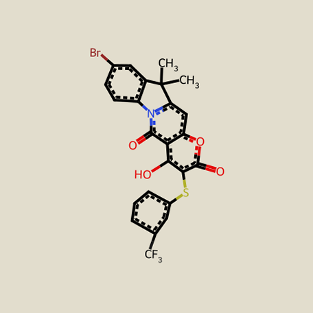 CC1(C)c2cc(Br)ccc2-n2c1cc1oc(=O)c(Sc3cccc(C(F)(F)F)c3)c(O)c1c2=O